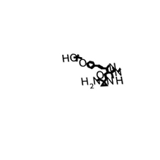 CNc1ncc(C#Cc2ccc(OCC(C)(C)O)cc2)c2cc(C3(C(N)=O)CC3)ncc12